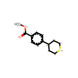 COC(=O)c1ccc(C2CCSCC2)cc1